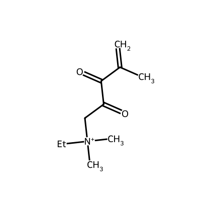 C=C(C)C(=O)C(=O)C[N+](C)(C)CC